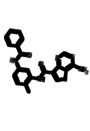 Cc1ccc(NC(=O)c2ccccc2)cc1NC(=O)c1csc2c(N)ncnc12